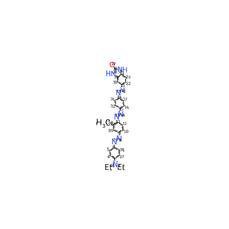 CCN(CC)c1ccc(N=Nc2ccc(N=Nc3ccc(N=Nc4ccc5[nH]c(=O)[nH]c5c4)cc3)c(C)c2)cc1